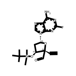 C#C[C@]1(C=O)O[C@@H](n2cnc3c(N)nc(F)nc32)C[C@@H]1O[Si](C)(C)C(C)(C)C